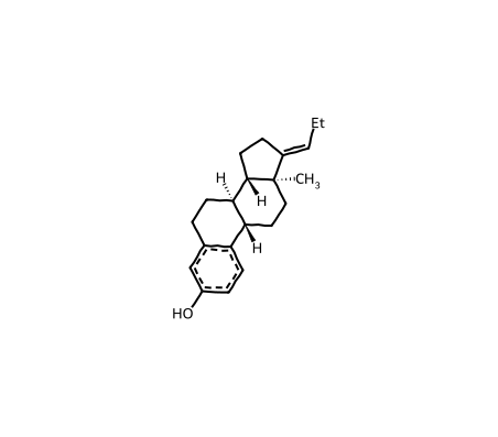 CCC=C1CC[C@H]2[C@@H]3CCc4cc(O)ccc4[C@H]3CC[C@]12C